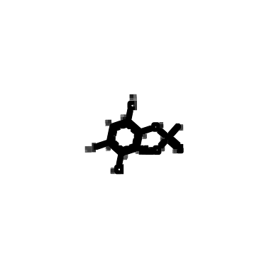 COP(C)(=S)Oc1cc(Cl)c(I)cc1Cl